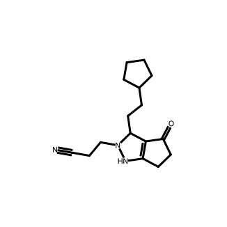 N#CCCN1NC2=C(C(=O)CC2)C1CCC1CCCC1